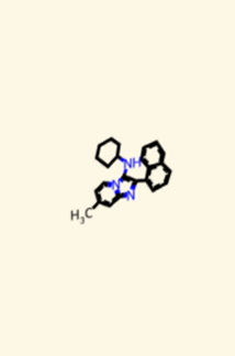 Cc1ccn2c(NC3CCCCC3)c(-c3cccc4ccccc34)nc2c1